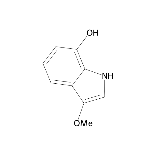 COc1c[nH]c2c(O)cccc12